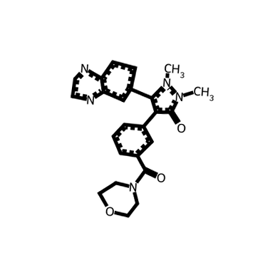 Cn1c(-c2ccc3nccnc3c2)c(-c2cccc(C(=O)N3CCOCC3)c2)c(=O)n1C